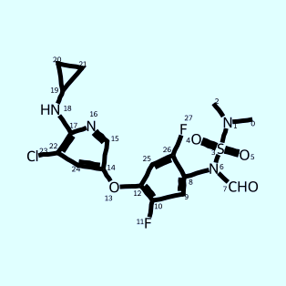 CN(C)S(=O)(=O)N(C=O)c1cc(F)c(Oc2cnc(NC3CC3)c(Cl)c2)cc1F